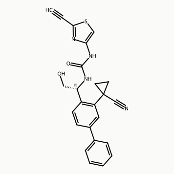 C#Cc1nc(NC(=O)N[C@@H](CO)c2ccc(-c3ccccc3)cc2C2(C#N)CC2)cs1